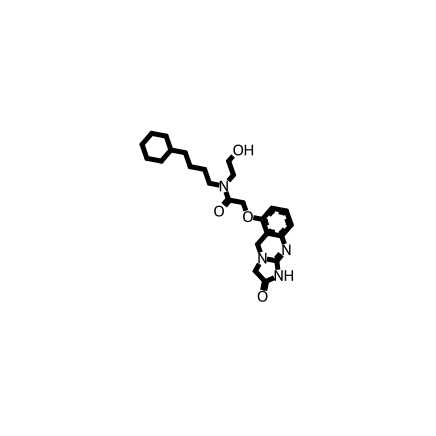 O=C1CN2Cc3c(cccc3OCC(=O)N(CCO)CCCCC3CCCCC3)N=C2N1